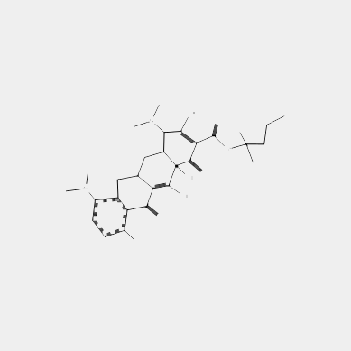 CCCC(C)(C)NC(=O)C1=C(O)C(N(C)C)C2CC3Cc4c(N(C)C)ccc(O)c4C(=O)C3=C(O)C2(O)C1=O